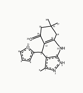 Cc1n[nH]c2c1C(c1ccco1)C1=C(CC(C)(C)CC1=O)N2